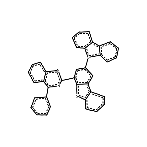 c1ccc(-c2nc(-c3cc(-n4c5ccccc5c5ccccc54)cc4c3sc3ccccc34)nc3ccccc23)cc1